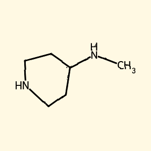 CN[C]1CCNCC1